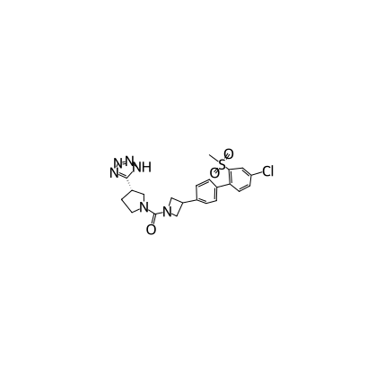 CS(=O)(=O)c1cc(Cl)ccc1-c1ccc(C2CN(C(=O)N3CC[C@H](c4nnn[nH]4)C3)C2)cc1